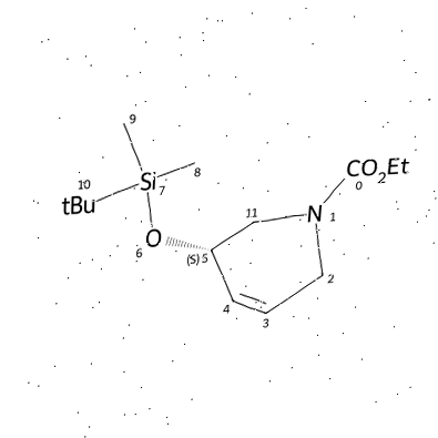 CCOC(=O)N1CC=C[C@H](O[Si](C)(C)C(C)(C)C)C1